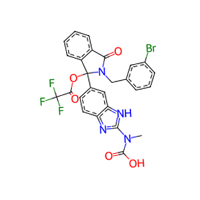 CN(C(=O)O)c1nc2ccc(C3(OC(=O)C(F)(F)F)c4ccccc4C(=O)N3Cc3cccc(Br)c3)cc2[nH]1